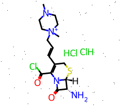 CN1CC[N+](C)(C/C=C/C2=C(C(=O)Cl)N3C(=O)[C@@H](N)[C@H]3SC2)CC1.Cl.Cl